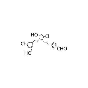 O=Cc1ccc(CCC[C@@H]2[C@@H](CCc3cc(Cl)cc(CO)c3)[C@H](O)C[C@H]2Cl)s1